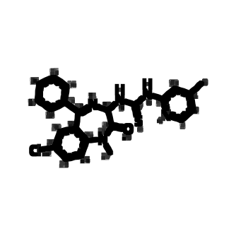 Cc1ccnc(NC(=S)NC2N=C(c3ccccc3)c3cc(Cl)ccc3N(C)C2=O)c1